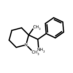 CN1CCCCC1(C)C(N)c1ccccc1